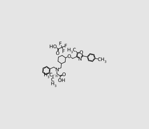 Cc1ccc(-c2nc(COC3CCCC(CN(Cc4ccccc4)[C@H](C(=O)O)C(C)C)C3)c(C)o2)cc1.O=C(O)C(F)(F)F